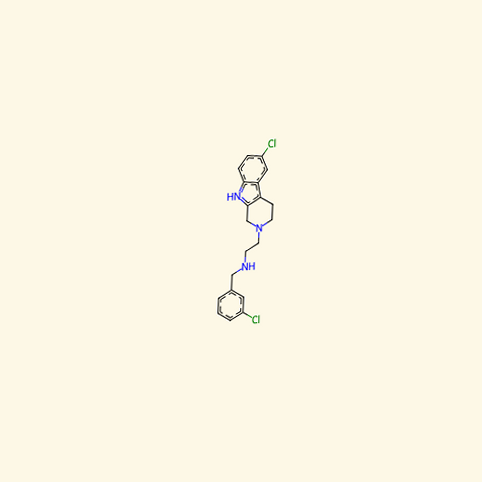 Clc1cccc(CNCCN2CCc3c([nH]c4ccc(Cl)cc34)C2)c1